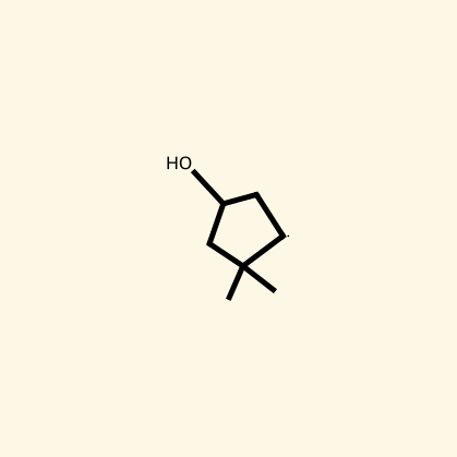 CC1(C)[CH]CC(O)C1